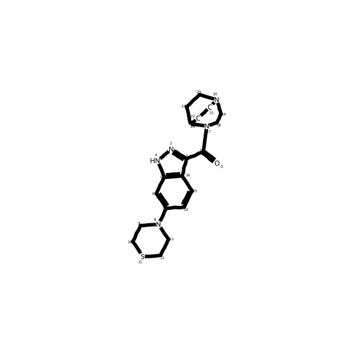 O=C(c1n[nH]c2cc(N3CCSCC3)ccc12)N1CCN2CCC1CC2